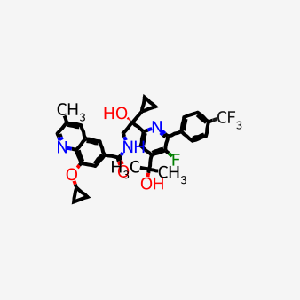 Cc1cnc2c(OC3CC3)cc(C(=O)NC[C@](O)(c3cc(C(C)(C)O)c(F)c(-c4ccc(C(F)(F)F)cc4)n3)C3CC3)cc2c1